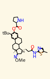 CO/N=C1\C[C@@H](CCC(=O)Nc2ncc(C)s2)C2C3CCc4cc(OC(=O)C5CCCN5)c(C(C)(C)C)cc4C3CC[C@]12C